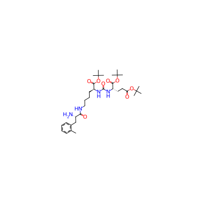 Cc1ccccc1C[C@H](N)C(=O)NCCCC[C@H](NC(=O)N[C@@H](CCC(=O)OC(C)(C)C)C(=O)OC(C)(C)C)C(=O)OC(C)(C)C